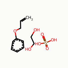 C=CCOc1ccccc1.O=S(=O)(O)O.OCCO